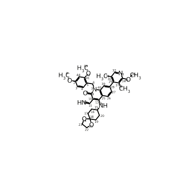 COc1ccc(Cn2c(=O)c(C=N)c(NC3CCC4(CC3)OCCO4)c3ccc(-c4c(C)cnc(OC)c4C)cc32)c(OC)c1